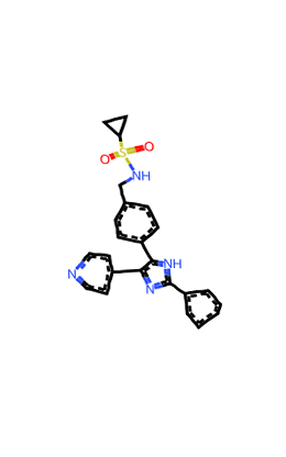 O=S(=O)(NCc1ccc(-c2[nH]c(-c3ccccc3)nc2-c2ccncc2)cc1)C1CC1